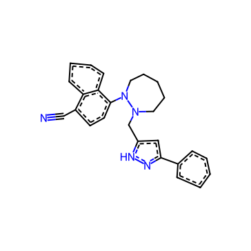 N#Cc1ccc(N2CCCCCN2Cc2cc(-c3ccccc3)n[nH]2)c2ccccc12